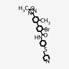 Cc1nc(-c2ccc(-c3ccc(C(=O)Nc4ccc(SCc5ccncc5)cc4)c(Br)c3)c(C)c2)no1